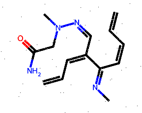 C=C\C=C/C(=N\C)C(/C=N\N(C)CC(N)=O)=C\C=C